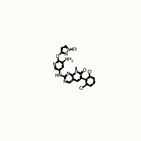 CCn1ccc(Oc2ncc(Nc3ncc4cc(-c5c(Cl)cccc5Cl)c(=O)n(C)c4n3)cc2N)n1